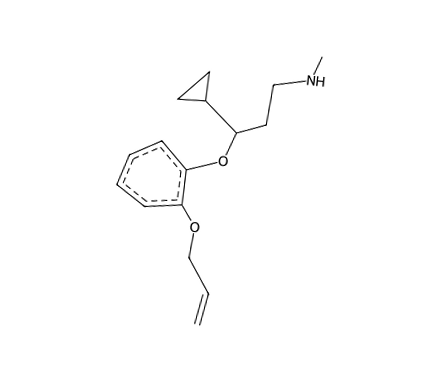 C=CCOc1ccccc1OC(CCNC)C1CC1